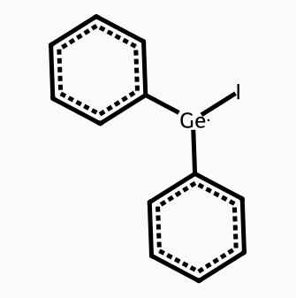 [I][Ge]([c]1ccccc1)[c]1ccccc1